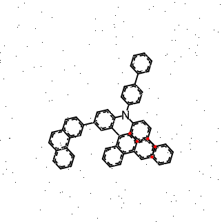 c1ccc(-c2ccc(N(c3ccc(-c4ccccc4)cc3)c3ccc(-c4ccc5ccc6ccccc6c5c4)cc3-c3cc4ccccc4c4ccccc34)cc2)cc1